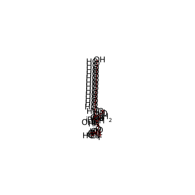 CC[C@@]1(O)C(=O)OCc2c1cc1n(c2=O)Cc2c-1nc1cc(F)c(C)c3c1c2[C@@H](NC(=O)OCc1ccc(NCC(C=O)(CCCNC(N)=O)NC(=O)[C@@H](NC(=O)[C@H](CCCCNC(=O)OCC(O)COCC(O)COCC(O)COCC(O)COCC(O)COCC(O)COCC(O)COCC(O)COCC(O)COCC(O)COCC(O)COCC(O)CO)NC(=O)CCCCCN2C(=O)C=CC2=O)C(C)C)cc1)CC3